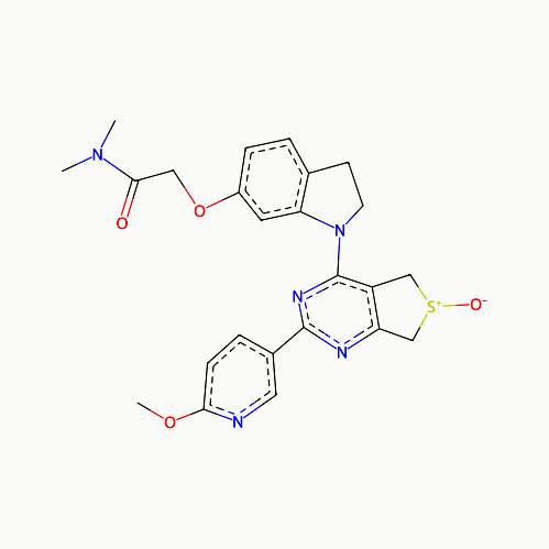 COc1ccc(-c2nc3c(c(N4CCc5ccc(OCC(=O)N(C)C)cc54)n2)C[S+]([O-])C3)cn1